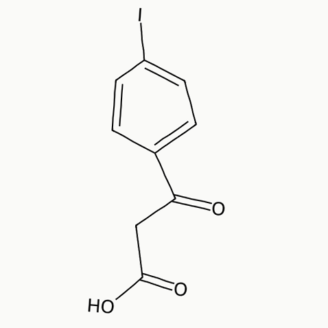 O=C(O)CC(=O)c1ccc(I)cc1